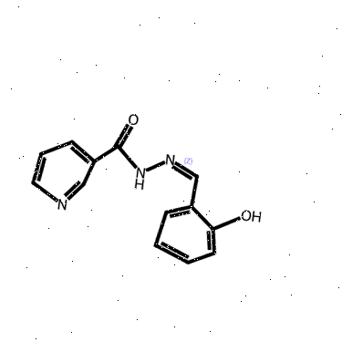 O=C(N/N=C\c1ccccc1O)c1cccnc1